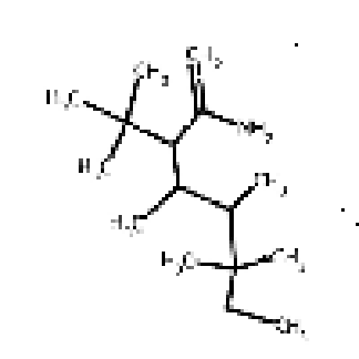 C=C(N)C(C(C)C(C)C(C)(C)CC)C(C)(C)C